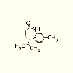 Cc1ccc2c(c1)NC(=O)CCC2C(C)C